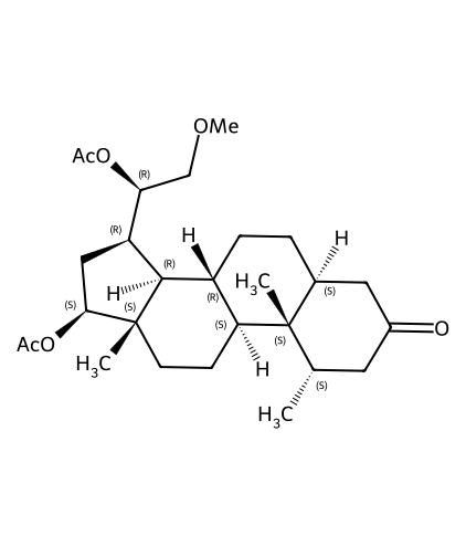 COC[C@H](OC(C)=O)[C@@H]1C[C@H](OC(C)=O)[C@@]2(C)CC[C@H]3[C@@H](CC[C@H]4CC(=O)C[C@H](C)[C@@]43C)[C@H]12